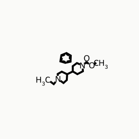 CCN1CCC(C2CCN(C(=O)OC)CC2)CC1.c1ccccc1